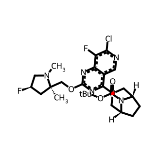 CN1C[C@H](F)C[C@]1(C)COc1nc(N2C[C@H]3CC[C@@H](C2)N3C(=O)OC(C)(C)C)c2cnc(Cl)c(F)c2n1